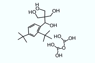 CC(C)(C)c1ccc(C(O)C(CO)(CO)CO)c(C(C)(C)C)c1.OP(O)OP(O)O